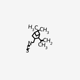 C=C(C)C1C(CN=C=S)CC2CC1C2(C)C